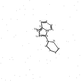 c1ccn2c(C3CCCCC3)nnc2c1